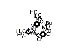 C#CCN1C(=O)COc2cc(F)c(/N=c3\snc4n3CC(C)(C)C4)cc21.CC(C)Oc1cc(-n2nc(C(C)(C)C)oc2=O)c(Cl)cc1Cl